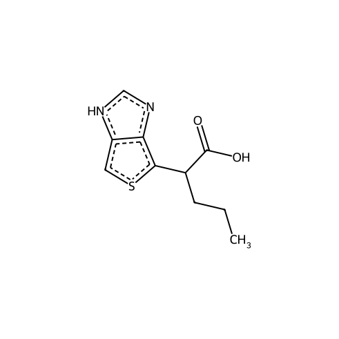 CCCC(C(=O)O)c1scc2[nH]cnc12